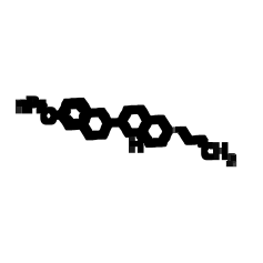 C=CCC[C@@H]1CC[C@@H]2CC(C3CCc4cc(OCCC)ccc4C3)CCC2C1